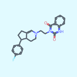 O=c1[nH]c2ccccc2c(=O)n1CCN1C=C2CCC(c3ccc(F)cc3)C2CC1